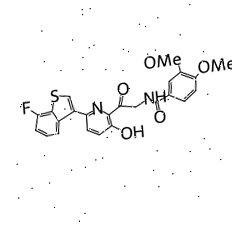 COc1ccc(C(=O)NCC(=O)c2nc(-c3csc4c(F)cccc34)ccc2O)cc1OC